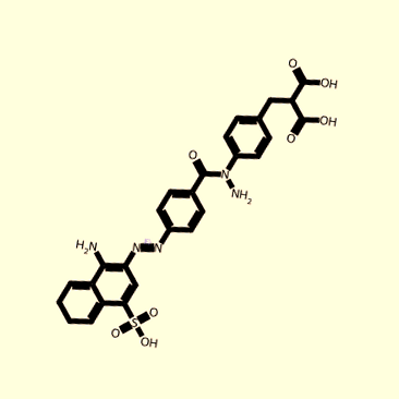 Nc1c(/N=N/c2ccc(C(=O)N(N)c3ccc(CC(C(=O)O)C(=O)O)cc3)cc2)cc(S(=O)(=O)O)c2c1=CCCC=2